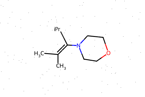 CC(C)=C(C(C)C)N1CCOCC1